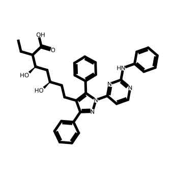 CCC(C(=O)O)[C@H](O)C[C@H](O)CCc1c(-c2ccccc2)nn(-c2ccnc(Nc3ccccc3)n2)c1-c1ccccc1